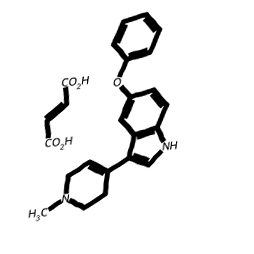 CN1CC=C(c2c[nH]c3ccc(Oc4ccccc4)cc23)CC1.O=C(O)C=CC(=O)O